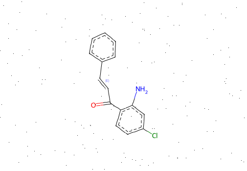 Nc1cc(Cl)ccc1C(=O)/C=C/c1ccccc1